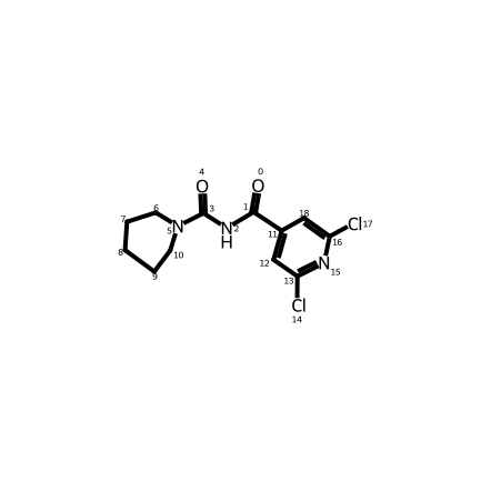 O=C(NC(=O)N1CCCCC1)c1cc(Cl)nc(Cl)c1